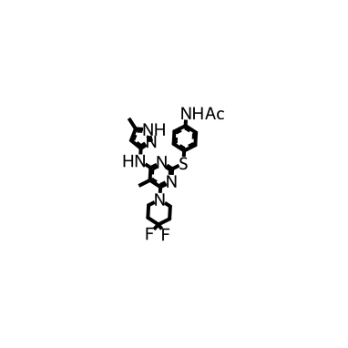 CC(=O)Nc1ccc(Sc2nc(Nc3cc(C)[nH]n3)c(C)c(N3CCC(F)(F)CC3)n2)cc1